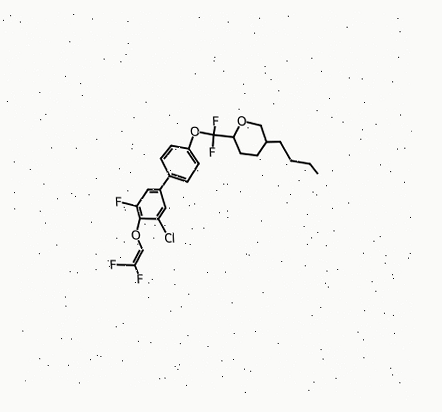 CCCCC1CCC(C(F)(F)Oc2ccc(-c3cc(F)c(OC=C(F)F)c(Cl)c3)cc2)OC1